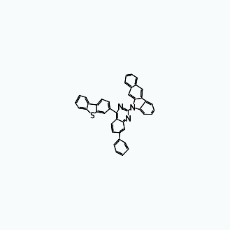 c1ccc(-c2ccc3c(-c4ccc5c(c4)sc4ccccc45)nc(-n4c5ccccc5c5cc6ccccc6cc54)nc3c2)cc1